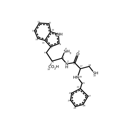 O=C(NC([SiH3])[C@@H](Cc1c[nH]c2ccccc12)C(=O)O)C(CS)NCc1ccccc1